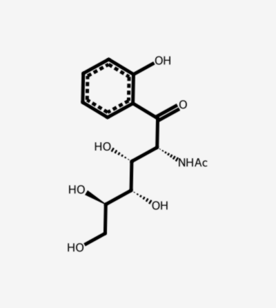 CC(=O)N[C@@H](C(=O)c1ccccc1O)[C@@H](O)[C@H](O)[C@H](O)CO